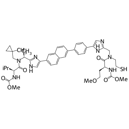 COCC[C@H](NC(=O)OC)C(=O)N(CCS)Cc1ncc(-c2ccc(-c3ccc4cc(-c5c[nH]c([C@H](C)N(CC6(C)CC6)C(=O)[C@@H](NC(=O)OC)C(C)C)n5)ccc4c3)cc2)[nH]1